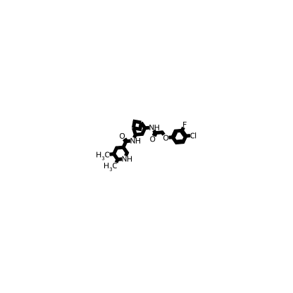 CC1CC(C(=O)NC2CC(NC(=O)COc3ccc(Cl)c(F)c3)C3CC2C3)CNC1C